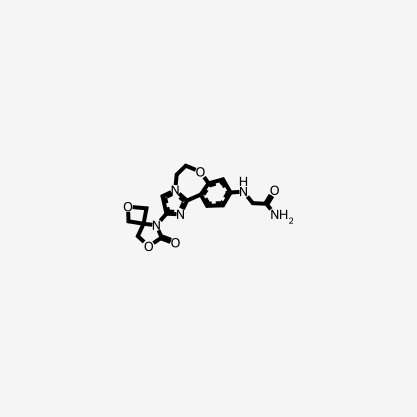 NC(=O)CNc1ccc2c(c1)OCCn1cc(N3C(=O)OCC34COC4)nc1-2